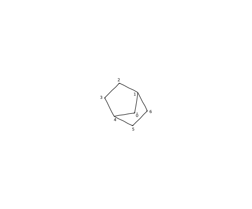 [CH]1C2CCC1CC2